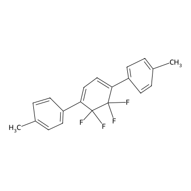 Cc1ccc(C2=CC=C(c3ccc(C)cc3)C(F)(F)C2(F)F)cc1